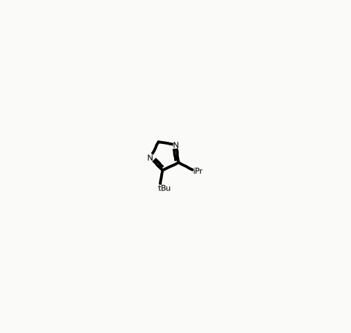 CC(C)C1=NCN=C1C(C)(C)C